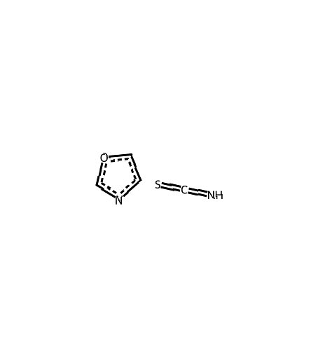 N=C=S.c1cocn1